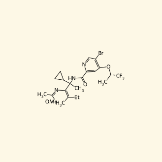 CC/C(C)=C(/N=C(/C)OC)C(C)(NC(=O)c1cc(O[C@@H](C)C(F)(F)F)c(Br)cn1)C1CC1